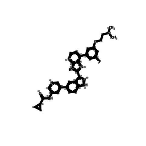 CN(C)CCOc1cc(F)cc(-c2ccnc3[nH]c(-c4n[nH]c5ccc(-c6cncc(NC(=O)C7CC7)c6)cc45)nc23)c1